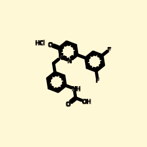 Cl.O=C(O)Nc1cccc(Cn2nc(-c3cc(F)cc(F)c3)ccc2=O)c1